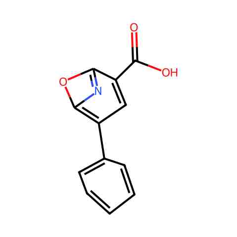 O=C(O)c1cc(-c2ccccc2)c2nc1O2